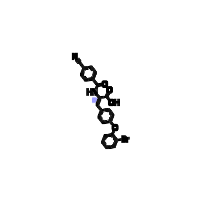 N#Cc1ccc(C(=O)N/C(=C/c2ccc(Oc3ccccc3Br)cc2)C(=O)O)cc1